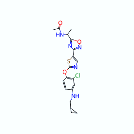 CC(=O)NC(C)c1nc(-c2cnc(Oc3ccc(NCC4CC4)cc3Cl)s2)no1